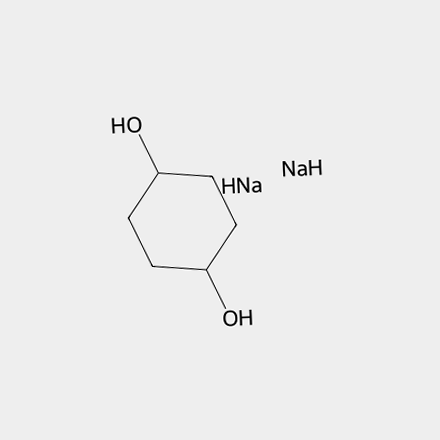 OC1CCC(O)CC1.[NaH].[NaH]